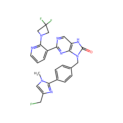 Cn1cc(CF)nc1-c1ccc(Cn2c(=O)[nH]c3cnc(-c4cccnc4N4CC(F)(F)C4)nc32)cc1